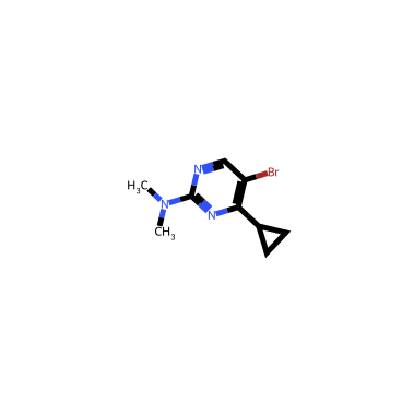 CN(C)c1ncc(Br)c(C2CC2)n1